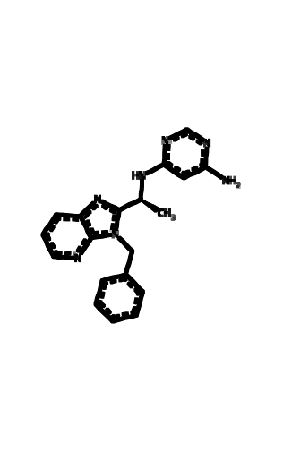 C[C@H](Nc1cc(N)ncn1)c1nc2cccnc2n1Cc1ccccc1